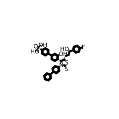 O=P(O)(O)c1ccc(-c2ccc([C@@H]3[C@H](CC[C@H](O)c4ccc(F)cc4)SC(=S)N3c3ccc(-c4ccccc4)cc3)c(O)c2)cc1